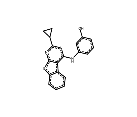 Oc1cccc(Nc2nc(C3CC3)nc3sc4ccccc4c23)c1